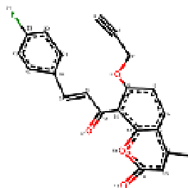 C#CCOc1ccc2c(C)cc(=O)oc2c1C(=O)C=Cc1ccc(F)cc1